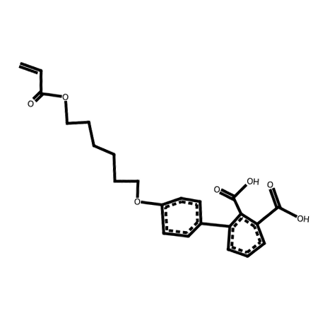 C=CC(=O)OCCCCCCOc1ccc(-c2cccc(C(=O)O)c2C(=O)O)cc1